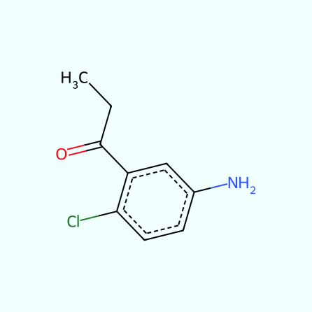 CCC(=O)c1cc(N)ccc1Cl